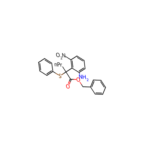 CCCC(Sc1ccccc1)(C(=O)OCc1ccccc1)c1c(N)cccc1[N+](=O)[O-]